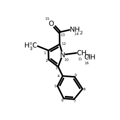 Cc1cc(-c2ccccc2)n(C)c1C(N)=O.Cl